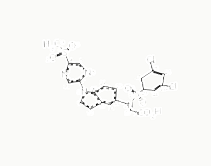 CS(=O)(=O)c1cnc(-n2ccc3cc(N(CC(=O)O)S(=O)(=O)C4C=C(Cl)C=C(Cl)C4)ccc32)cn1